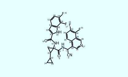 N#CC(NC(=O)C1(NC(=O)c2cc3ccc(F)c(F)c3[nH]2)CC1C1CC1)c1cncc2c(F)c(F)ccc12